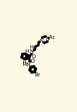 CC(=O)N1CCN(CCCCNC(=O)[C@H]2[C@H](C(=O)Nc3ccc(Br)cc3)[C@@H]3C=C[C@H]2C32CC2)CC1